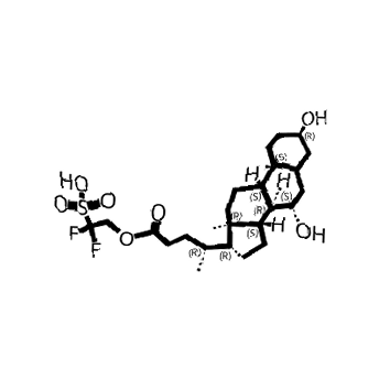 C[C@H](CCC(=O)OCC(F)(F)S(=O)(=O)O)[C@H]1CC[C@H]2[C@@H]3[C@@H](O)CC4C[C@H](O)CC[C@]4(C)[C@H]3CC[C@]12C